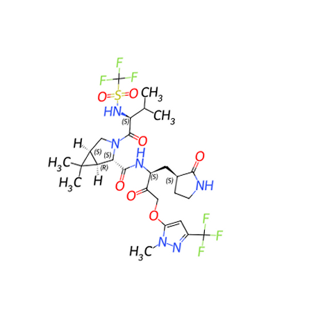 CC(C)[C@H](NS(=O)(=O)C(F)(F)F)C(=O)N1C[C@H]2[C@@H]([C@H]1C(=O)N[C@@H](C[C@@H]1CCNC1=O)C(=O)COc1cc(C(F)(F)F)nn1C)C2(C)C